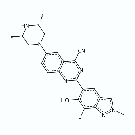 C[C@@H]1CN(c2ccc3nc(-c4cc5cn(C)nc5c(F)c4O)nc(C#N)c3c2)C[C@@H](C)N1